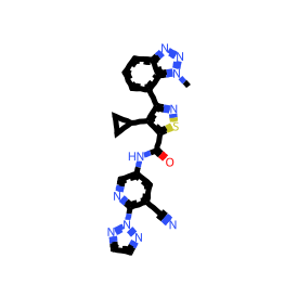 Cn1nnc2cccc(-c3nsc(C(=O)Nc4cnc(-n5nccn5)c(C#N)c4)c3C3CC3)c21